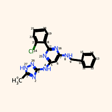 Cc1nc(Nc2cc(NCc3ccccc3)nc(-c3ccccc3Cl)n2)n[nH]1